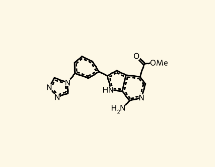 COC(=O)c1cnc(N)c2[nH]c(-c3cccc(-n4cnnc4)c3)cc12